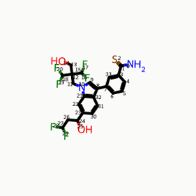 NC(=S)c1cccc(-c2cn(CC(CO)(C(F)F)C(F)F)c3cc(C(O)CC(F)F)ccc23)c1